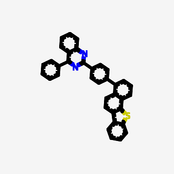 c1ccc(-c2nc(-c3ccc(-c4cccc5c4ccc4c6ccccc6sc54)cc3)nc3ccccc23)cc1